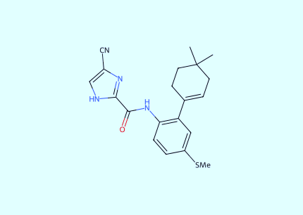 CSc1ccc(NC(=O)c2nc(C#N)c[nH]2)c(C2=CCC(C)(C)CC2)c1